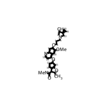 C=C1CN(CCCOc2cc3nccc(Oc4ccc5c(c4)OC(C)C5C(=O)NC)c3cc2OC)CC12CC2